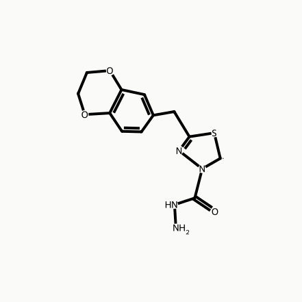 NNC(=O)N1[CH]SC(Cc2ccc3c(c2)OCCO3)=N1